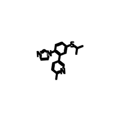 Cc1ccc(-c2cc(SC(C)C)ccc2-n2ccnc2)cn1